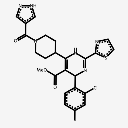 COC(=O)C1=C(C2CCN(C(=O)c3cn[nH]c3)CC2)NC(c2nccs2)=NC1c1ccc(F)cc1Cl